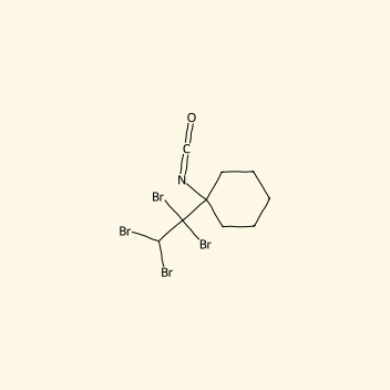 O=C=NC1(C(Br)(Br)C(Br)Br)CCCCC1